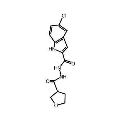 O=C(NNC(=O)C1CCOC1)c1cc2cc(Cl)ccc2[nH]1